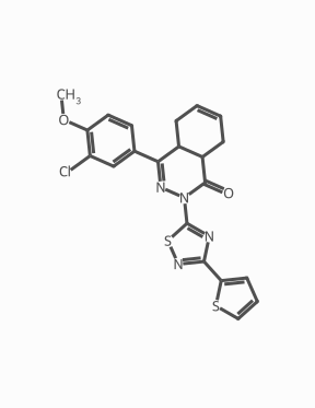 COc1ccc(C2=NN(c3nc(-c4cccs4)ns3)C(=O)C3CC=CCC23)cc1Cl